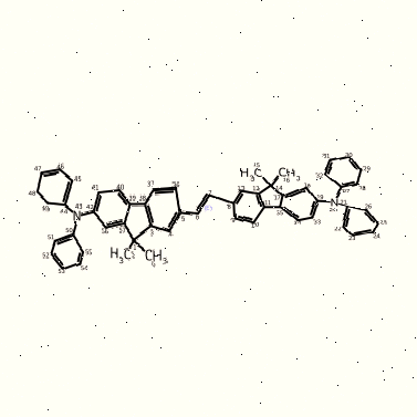 CC1(C)c2cc(/C=C/c3ccc4c(c3)C(C)(C)c3cc(N(c5ccccc5)c5ccccc5)ccc3-4)ccc2-c2ccc(N(C3=CC=CCC3)c3ccccc3)cc21